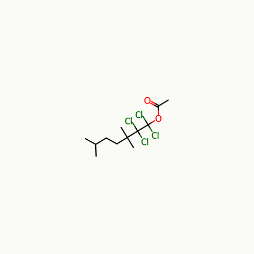 CC(=O)OC(Cl)(Cl)C(Cl)(Cl)C(C)(C)CCC(C)C